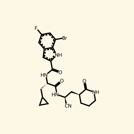 N#C[C@H](C[C@@H]1CCCNC1=O)NC(=O)[C@H](CC1CC1)NC(=O)c1cc2cc(F)cc(Br)c2[nH]1